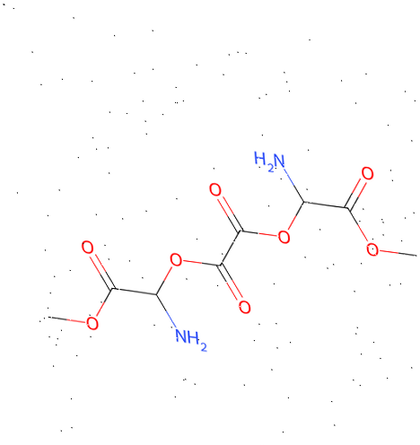 COC(=O)C(N)OC(=O)C(=O)OC(N)C(=O)OC